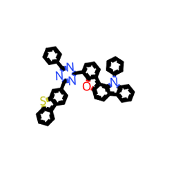 c1ccc(-c2nc(-c3ccc4c(c3)sc3ccccc34)nc(-c3cccc4c3oc3ccc5c6ccccc6n(-c6ccccc6)c5c34)n2)cc1